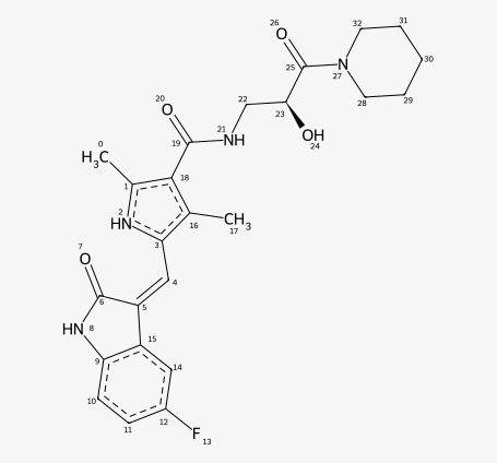 Cc1[nH]c(/C=C2\C(=O)Nc3ccc(F)cc32)c(C)c1C(=O)NC[C@H](O)C(=O)N1CCCCC1